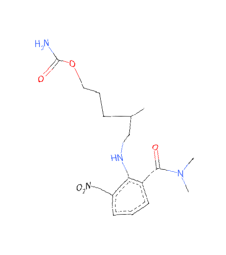 CC(CCCOC(N)=O)CNc1c(C(=O)N(C)C)cccc1[N+](=O)[O-]